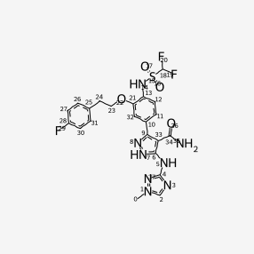 Cn1cnc(Nc2[nH]nc(-c3ccc(NS(=O)(=O)C(F)F)c(OCCc4ccc(F)cc4)c3)c2C(N)=O)n1